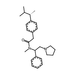 CC(C)[C@H](C)c1ccc(CC(=O)N(C)C(CN2CCCC2)c2ccccc2)cc1